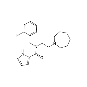 O=C(c1ccn[nH]1)N(CCN1CCCCCC1)Cc1ccccc1F